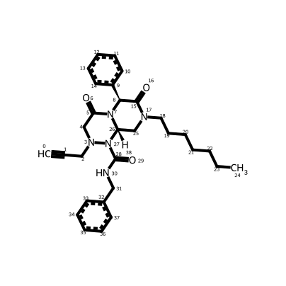 C#CCN1CC(=O)N2[C@@H](c3ccccc3)C(=O)N(CCCCCCC)C[C@@H]2N1C(=O)NCc1ccccc1